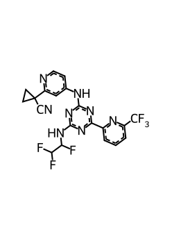 N#CC1(c2cc(Nc3nc(NC(F)C(F)F)nc(-c4cccc(C(F)(F)F)n4)n3)ccn2)CC1